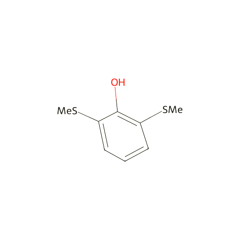 CSc1cccc(SC)c1O